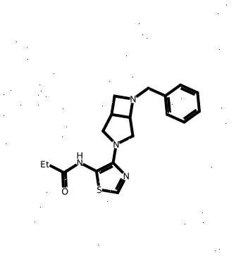 CCC(=O)Nc1scnc1N1CC2CN(Cc3ccccc3)C2C1